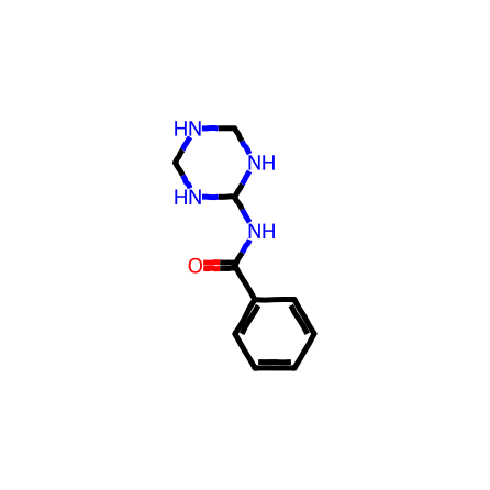 O=C(NC1NCNCN1)c1ccccc1